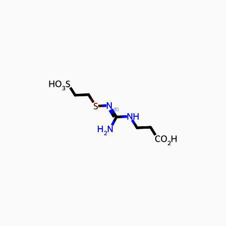 N/C(=N\SCCS(=O)(=O)O)NCCC(=O)O